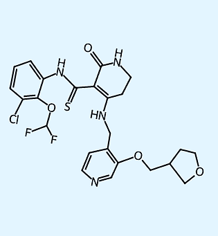 O=C1NCCC(NCc2ccncc2OCC2CCOC2)=C1C(=S)Nc1cccc(Cl)c1OC(F)F